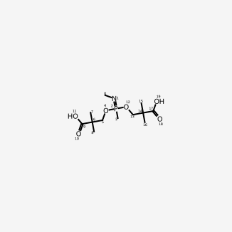 CN=P(C)(OCC(C)(C)C(=O)O)OCC(C)(C)C(=O)O